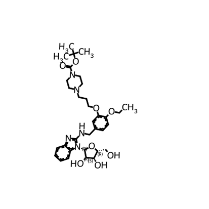 CCOc1ccc(CNc2nc3ccccc3n2[C@@H]2O[C@H](CO)[C@@H](O)[C@H]2O)cc1OCCCN1CCN(C(=O)OC(C)(C)C)CC1